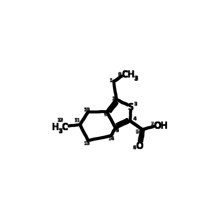 CCc1sc(C(=O)O)c2c1CC(C)CC2